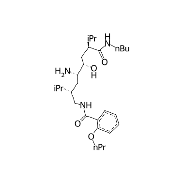 CCCCNC(=O)[C@@H](C[C@H](O)[C@@H](N)C[C@H](CNC(=O)c1ccccc1OCCC)C(C)C)C(C)C